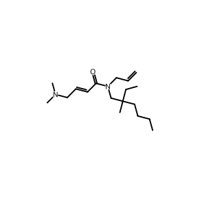 C=CCN(CC(C)(CC)CCCC)C(=O)/C=C/CN(C)C